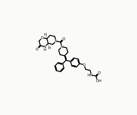 O=C(O)NCCOc1ccc(C(=C2CCN(C(=O)N3CC[C@@H]4OCC(=O)N[C@@H]4C3)CC2)c2ccccc2)cc1